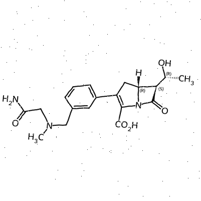 C[C@@H](O)[C@H]1C(=O)N2C(C(=O)O)=C(c3cccc(CN(C)CC(N)=O)c3)C[C@H]12